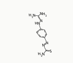 NC(=S)N=Nc1ccc(NN=C(N)N)cc1